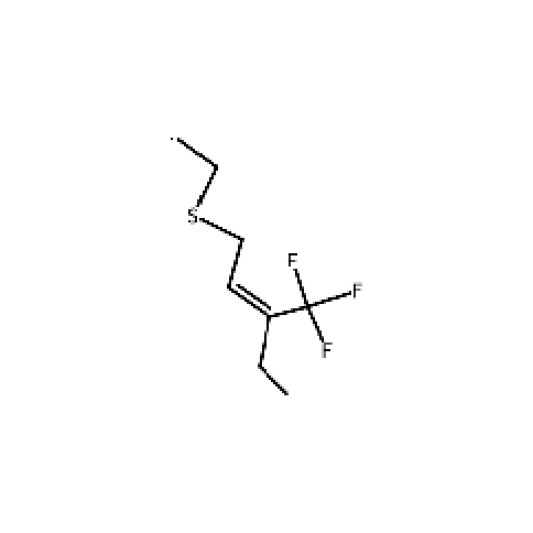 [CH2]CSCC=C(CC)C(F)(F)F